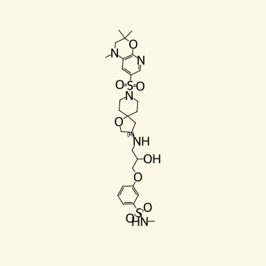 CNS(=O)(=O)c1cccc(OCC(O)CN[C@H]2COC3(CCN(S(=O)(=O)c4cnc5c(c4)N(C)CC(C)(C)O5)CC3)C2)c1